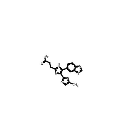 CCCC(=O)CCc1nc(-c2nc(C)cs2)c(-c2ccc3ncsc3c2)[nH]1